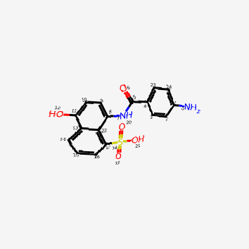 Nc1ccc(C(=O)Nc2ccc(O)c3cccc(S(=O)(=O)O)c23)cc1